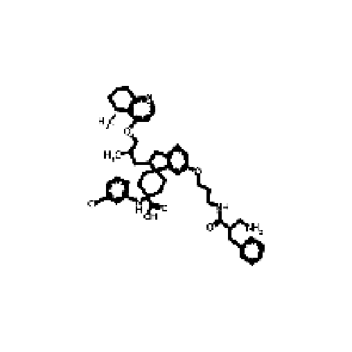 C[C@@H](COc1ccnc2c1[C@H](C)CCC2)CC1Cc2ccc(OCCCNC(=O)C(CN)Cc3ccccc3)cc2C12CCC(Nc1cccc(Cl)c1)(C(=O)O)CC2